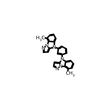 Cc1cccc2c1n1nccc1n2-c1cccc(-n2c3cccc(C)c3n3nccc23)c1